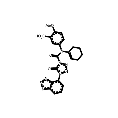 COc1ccc(N(C(=O)n2nnn(-c3cccc4nsnc34)c2=O)C2=CCCCC2)cc1C(=O)O